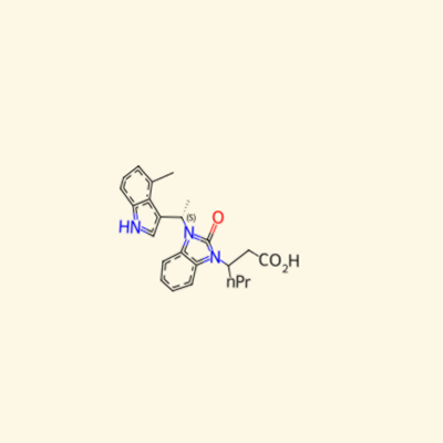 CCCC(CC(=O)O)n1c(=O)n([C@@H](C)c2c[nH]c3cccc(C)c23)c2ccccc21